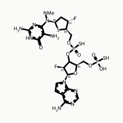 CNN(c1nc(N)[nH]c(=O)c1N)[C@H]1C[C@H](F)[C@@H](COP(=O)(S)OC2[C@@H](COP(=O)(O)S)O[C@@H](n3ccc4c(N)ncnc43)[C@H]2F)S1